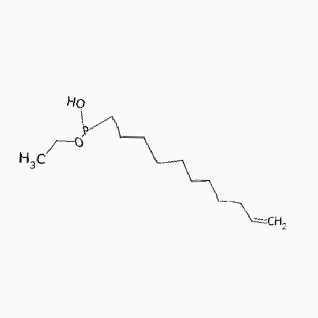 C=CCCCCCCCCCP(O)OCC